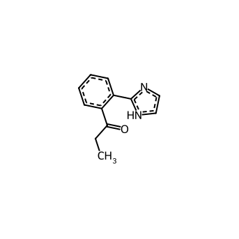 CCC(=O)c1ccccc1-c1ncc[nH]1